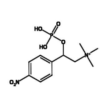 C[N+](C)(C)CC(OP(=O)(O)O)c1ccc([N+](=O)[O-])cc1